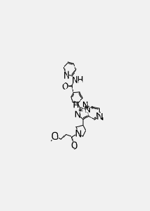 COCCC(=O)N1CCC(C2=C3C=NC=C[N+]3(N)C(c3ccc(C(=O)Nc4ccccn4)cc3)=N2)C1